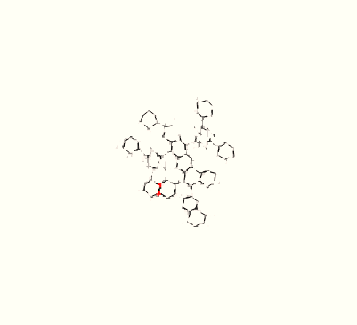 c1ccc(-c2ccc3c(-c4nc(-c5ccccc5)nc(-c5ccccc5)n4)c4cc5c(cc4c(-c4nc(-c6ccccc6)nc(-c6ccccc6)n4)c3c2)c(-c2ccccc2)c(-c2ccc3ccccc3c2)c2ccccc25)cc1